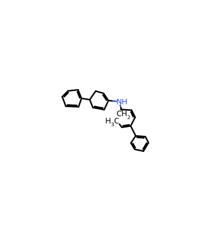 C=C(/C=C\C(=C/C)c1ccccc1)NC1=CCC(c2ccccc2)C=C1